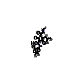 C/C=C/C(=O)N1C(=O)/C(=C(\O)C[C@@H]2OC(C)(C)OC2=O)C(=O)C1CC(C)C